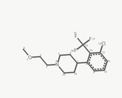 COCCN1CCC(c2cccc(Cl)c2C(F)(F)F)CC1